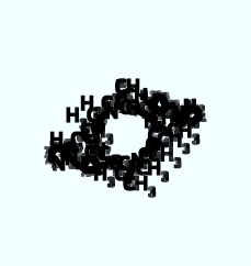 CC(C)C[C@H]1CO[C@H](C)CN(C)[C@@H](CC(C)C)CO[C@H](Cc2ccc(Cn3ccc4cccnc43)cc2)CN(C)[C@@H](CC(C)C)CO[C@H](C)CN(C)[C@@H](CC(C)C)CO[C@H](Cc2ccc(Cn3ccc4cccnc43)cc2)CN1C